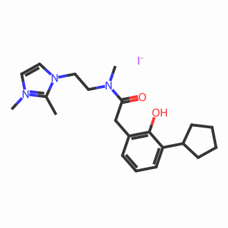 Cc1n(CCN(C)C(=O)Cc2cccc(C3CCCC3)c2O)cc[n+]1C.[I-]